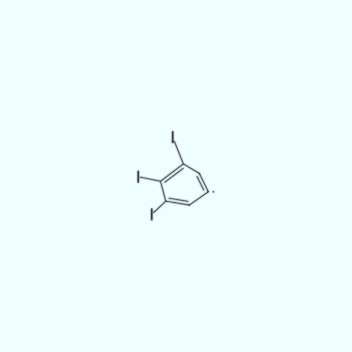 Ic1c[c]cc(I)c1I